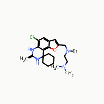 C=C1Nc2c(Cl)cc3cc(CN(CC)CCN(C)C)oc3c2C2(CCCCC2)N1